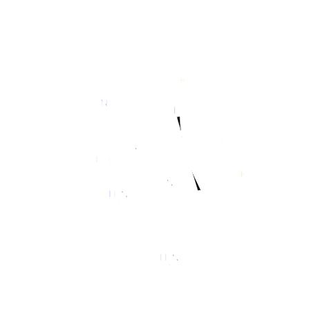 CC1(C#N)C[C@@H]2C(C(F)F)OC[C@]2(c2cc(N)ccc2F)N=C1N